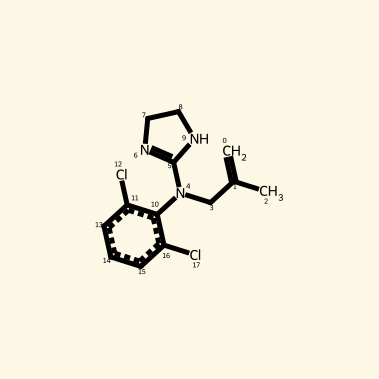 C=C(C)CN(C1=NCCN1)c1c(Cl)cccc1Cl